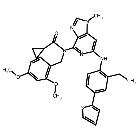 CCc1cc(-c2cccs2)ccc1Nc1cc2c(ncn2C)c(N(Cc2ccc(OC)cc2OC)C(=O)C2CC2)n1